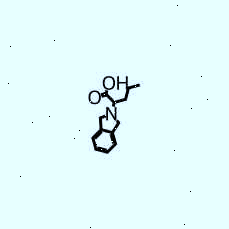 CCCC(C(=O)O)N1Cc2ccccc2C1